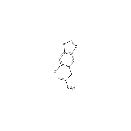 C=C(Cc1cc2c(cc1Cl)OCO2)C(=O)O